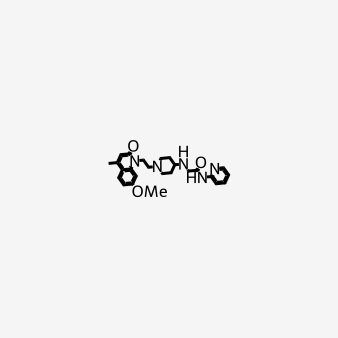 COc1ccc2c(C)cc(=O)n(CCN3CCC(NCC(=O)Nc4ccccn4)CC3)c2c1